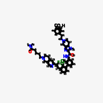 CN(C)C(=O)CCCCN1CCc2cc(/C(F)=C/c3cccc(-c4cccc(NC(=O)c5nc6c(n5C)CCN(CCC57CCC(C(=O)O)(CC5)C7)C6)c4Cl)c3Cl)ncc2C1